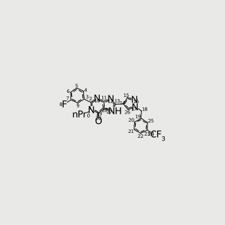 CCCn1c(-c2cccc(F)c2)nc2nc(-c3cnn(Cc4cccc(C(F)(F)F)c4)c3)[nH]c2c1=O